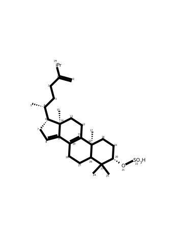 C=C(CC[C@@H](C)[C@H]1CC=C2C3=C(CC[C@@]21C)[C@@]1(C)CC[C@H](OS(=O)(=O)O)C(C)(C)C1CC3)C(C)C